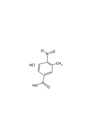 Cc1cc(C(=O)O)ccc1[N+](=O)[O-].Cl